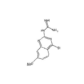 CCc1nc(NC(=N)N)nc2cc(OC)ccc12